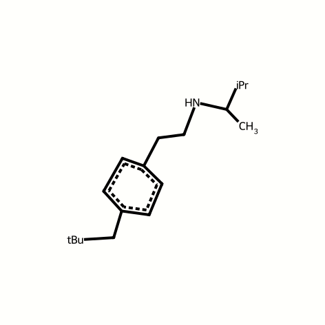 CC(C)C(C)NCCc1ccc(CC(C)(C)C)cc1